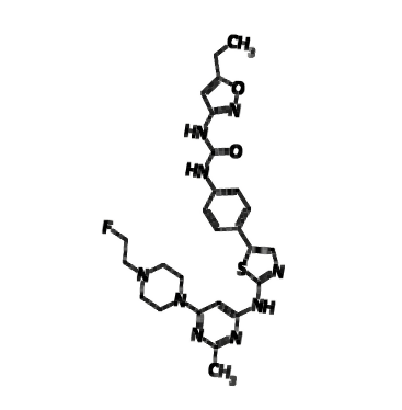 CCc1cc(NC(=O)Nc2ccc(-c3cnc(Nc4cc(N5CCN(CCF)CC5)nc(C)n4)s3)cc2)no1